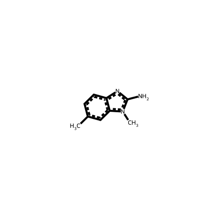 Cc1ccc2nc(N)n(C)c2c1